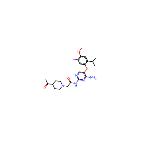 COc1cc(C(C)C)c(Oc2cnc(NC(=O)CN3CCC(C(C)=O)CC3)nc2N)cc1I